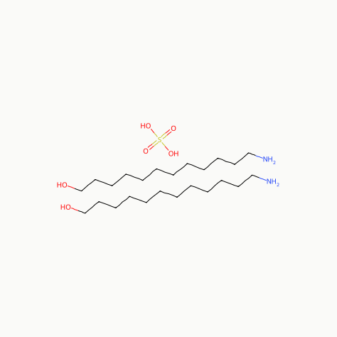 NCCCCCCCCCCCCO.NCCCCCCCCCCCCO.O=S(=O)(O)O